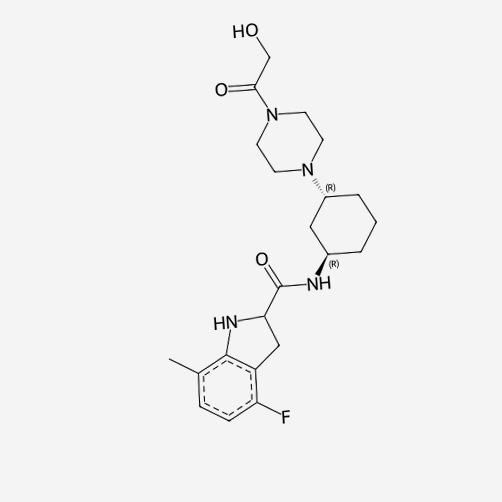 Cc1ccc(F)c2c1NC(C(=O)N[C@@H]1CCC[C@@H](N3CCN(C(=O)CO)CC3)C1)C2